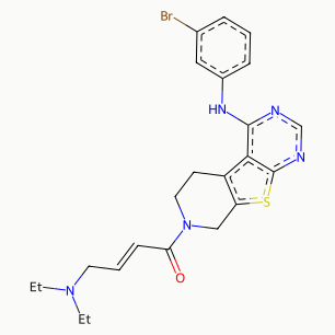 CCN(CC)CC=CC(=O)N1CCc2c(sc3ncnc(Nc4cccc(Br)c4)c23)C1